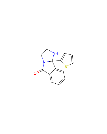 O=C1c2ccccc2C2(c3cccs3)NCCN12